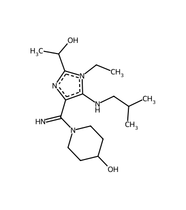 CCn1c(C(C)O)nc(C(=N)N2CCC(O)CC2)c1NCC(C)C